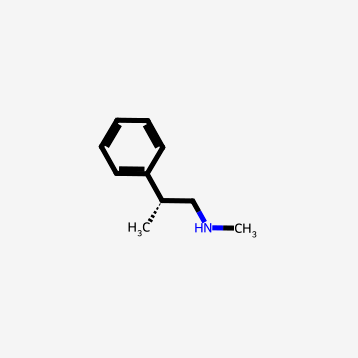 CNC[C@H](C)c1ccccc1